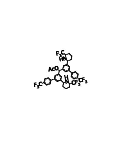 CC(=O)OC(c1cc(-c2ccc(C(F)(F)F)cc2)cc(C2CCCC(C(F)(F)F)N2)c1)c1cc(-c2ccc(C(F)(F)F)cc2)cc(C2CCCC(C(F)(F)F)N2)c1